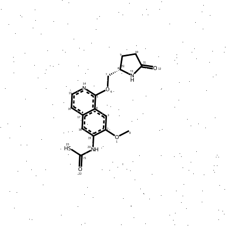 COc1cc2c(OC[C@@H]3CCC(=O)N3)nccc2cc1NC(=O)S